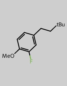 COc1ccc(CCC(C)(C)C)cc1F